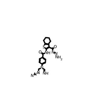 [N-]=[N+]=NCN(C=N)c1ccc(C(=O)Nc2sc3c(c2C(=O)N=NN)CCCC3)cc1